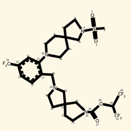 CS(=O)(=O)N1CCC2(CCN(c3cc(C(F)(F)F)ccc3CN3CCC4(CCN(C(=O)OC(C(F)(F)F)C(F)(F)F)C4)C3)CC2)C1